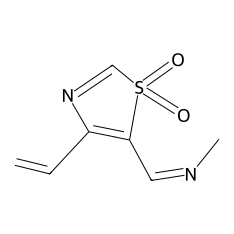 C=CC1=C(/C=N\C)S(=O)(=O)C=N1